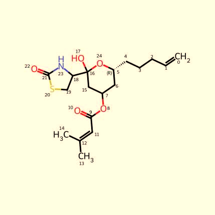 C=CCCC[C@@H]1CC(OC(=O)C=C(C)C)CC(O)(C2CSC(=O)N2)O1